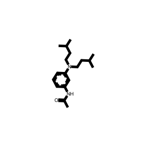 CC(=O)Nc1cccc(N(CCC(C)C)CCC(C)C)c1